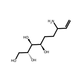 C=CC(N)CC[C@@H](O)[C@H](O)[C@H](O)CO